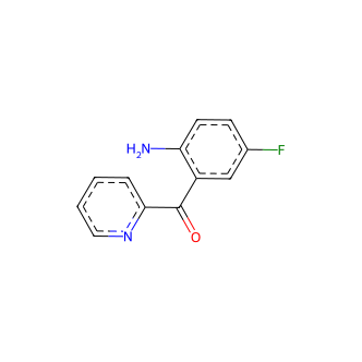 Nc1ccc(F)cc1C(=O)c1ccccn1